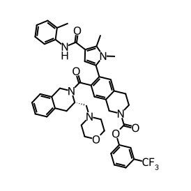 Cc1ccccc1NC(=O)c1cc(-c2cc3c(cc2C(=O)N2Cc4ccccc4C[C@H]2CN2CCOCC2)CN(C(=O)Oc2cccc(C(F)(F)F)c2)CC3)n(C)c1C